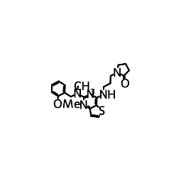 COc1ccccc1CN(C)c1nc(NCCCN2CCCC2=O)c2sccc2n1